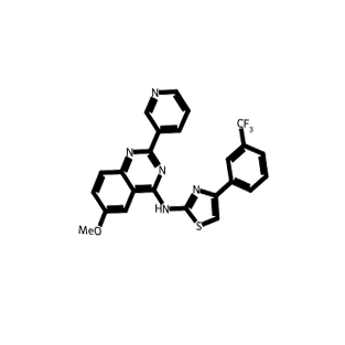 COc1ccc2nc(-c3cccnc3)nc(Nc3nc(-c4cccc(C(F)(F)F)c4)cs3)c2c1